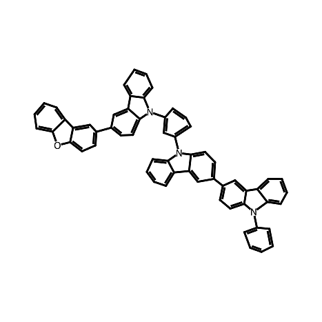 c1ccc(-n2c3ccccc3c3cc(-c4ccc5c(c4)c4ccccc4n5-c4cccc(-n5c6ccccc6c6cc(-c7ccc8oc9ccccc9c8c7)ccc65)c4)ccc32)cc1